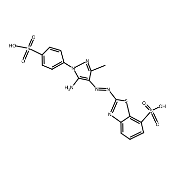 Cc1nn(-c2ccc(S(=O)(=O)O)cc2)c(N)c1/N=N/c1nc2cccc(S(=O)(=O)O)c2s1